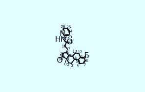 C[C@]12CCC3c4cccc(F)c4CCC3C1[C@H](CCC(=O)Nc1ccccn1)CC2=O